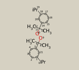 CC(C)c1cccc(C(C)(C)OOC(C)(C)c2cccc(C(C)C)c2)c1